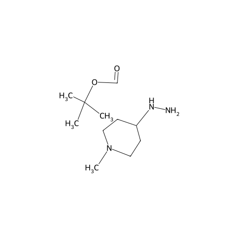 CC(C)(C)OC=O.CN1CCC(NN)CC1